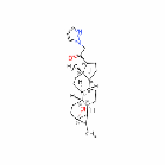 CC1C2[C@@H]3CC[C@@H]4[C@H](CC[C@]5(C)[C@@H](C(=O)Cn6cccn6)CC[C@@H]45)[C@H]3CC[C@]12O